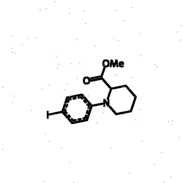 COC(=O)C1CCCCN1c1ccc(I)cc1